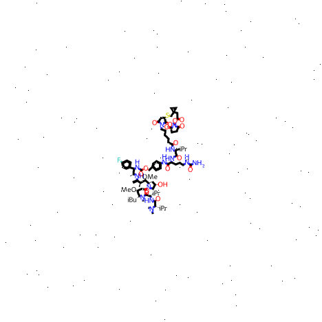 C=C(N[C@H](C)C(NC(=O)OCc1ccc(NC(=O)C(CCCNC(N)=O)NC(=O)C(NC(=O)CCCCCN2C(=O)CC(SCC3(CC(=O)ON4C(=O)CCC4=O)CC3)C2=O)C(C)C)cc1)c1ccc(F)cc1)[C@H](C)[C@@H](OC)[C@@H]1C[C@H](O)CN1C(=O)C[C@@H](OC)C([C@@H](C)CC)N(C)C(=O)[C@@H](NC(=O)[C@H](C(C)C)N(C)C)C(C)C